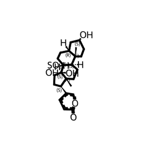 C[C@]12CC[C@H](O)C[C@H]1CC[C@@H]1[C@@H]2CC[C@]2(C)[C@@H](c3ccc(=O)oc3)CC[C@]12O.O=S(=O)(O)O